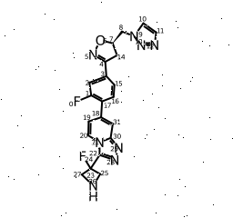 Fc1cc(C2=NO[C@@H](Cn3ccnn3)C2)ccc1-c1ccn2c(C3(F)CNC3)nnc2c1